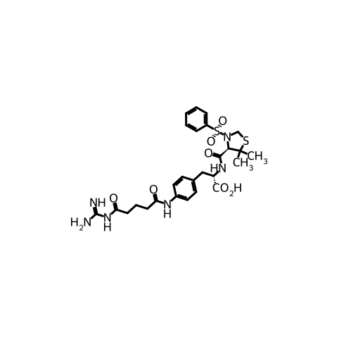 CC1(C)SCN(S(=O)(=O)c2ccccc2)[C@@H]1C(=O)N[C@@H](Cc1ccc(NC(=O)CCCC(=O)NC(=N)N)cc1)C(=O)O